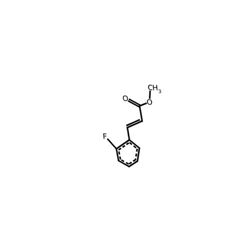 COC(=O)/C=C/c1ccccc1F